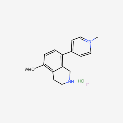 COc1ccc(-c2cc[n+](C)cc2)c2c1CCNC2.Cl.[I-]